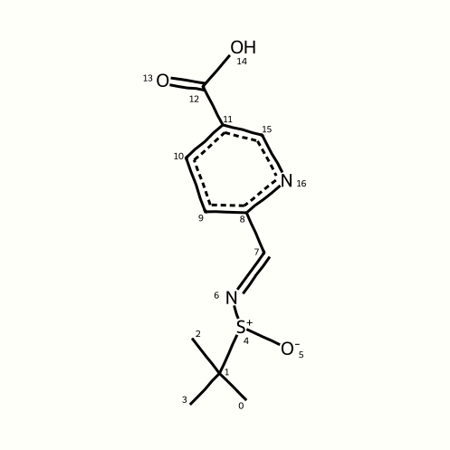 CC(C)(C)[S+]([O-])/N=C/c1ccc(C(=O)O)cn1